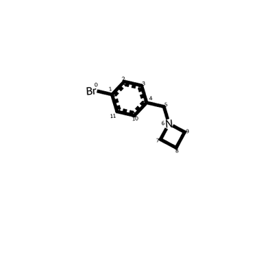 Brc1ccc(CN2CCC2)cc1